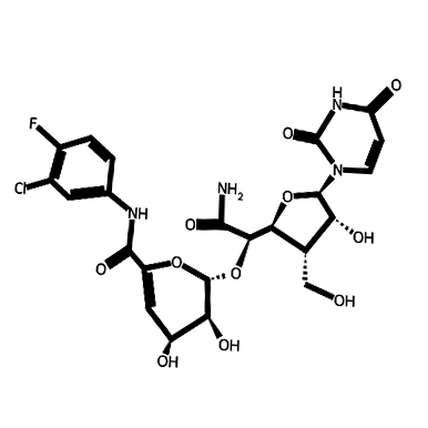 NC(=O)[C@H](O[C@H]1OC(C(=O)Nc2ccc(F)c(Cl)c2)=C[C@H](O)[C@@H]1O)[C@H]1O[C@@H](n2ccc(=O)[nH]c2=O)[C@H](O)[C@@H]1CO